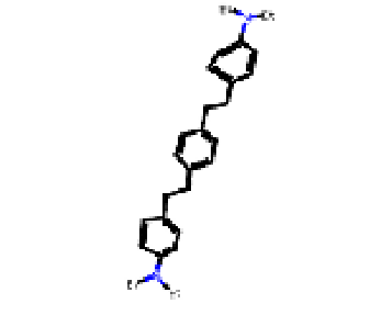 CCN(CC)c1ccc(CCc2ccc(CCc3ccc(N(CC)CC)cc3)cc2)cc1